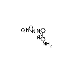 Nc1ccc2c(c1)ncn2-c1ccccc1N1CCN(CC(=O)N2CCOCC2)CC1